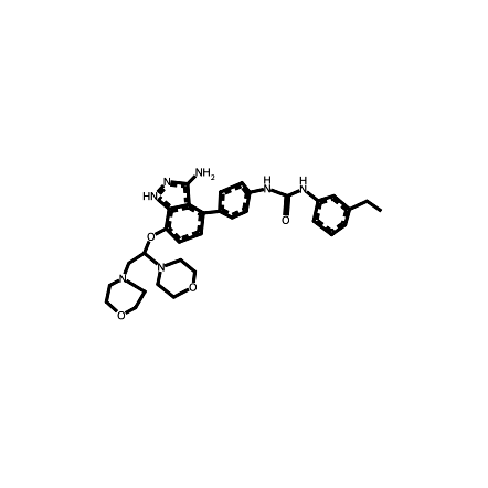 CCc1cccc(NC(=O)Nc2ccc(-c3ccc(OC(CN4CCOCC4)N4CCOCC4)c4[nH]nc(N)c34)cc2)c1